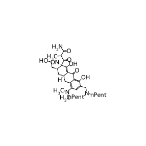 CCCCCN(CCCCC)Cc1cc(N(C)C)c2c(c1O)C(=O)C1=C(O)[C@](N=O)(C(=O)C(C)C(N)=O)[C@H](CCO)C[C@@H]1C2